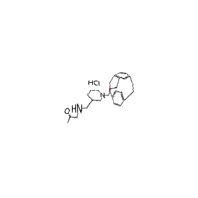 CC(=O)CNCC1CCCN(CCCc2cc3ccc2CCc2ccc(cc2)CC3)C1.Cl